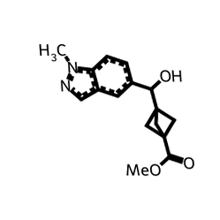 COC(=O)C12CC(C(O)c3ccc4c(cnn4C)c3)(C1)C2